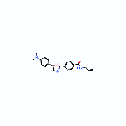 C=CCNC(=O)c1ccc(-c2ncc(-c3ccc(N(C)C)cc3)o2)cc1